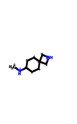 CNC1CCC2(CC1)CNC2